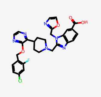 O=C(O)c1ccc2nc(CN3CCC(c4nccnc4OCc4ccc(Cl)cc4F)CC3)n(Cc3ncco3)c2c1